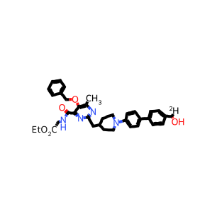 [2H]C(O)c1ccc(-c2ccc(N3CCC(Cc4nc(C)c(OCc5ccccc5)c(C(=O)NCC(=O)OCC)n4)CC3)cc2)cc1